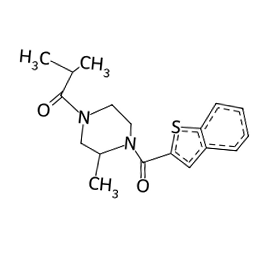 CC(C)C(=O)N1CCN(C(=O)c2cc3ccccc3s2)C(C)C1